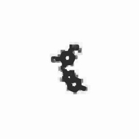 Cc1ccc2sc(Sc3[c]cc([N+](=O)[O-])cc3Cl)nc2c1